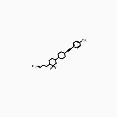 C=CCCC1CCC(C2CCC(C#Cc3ccc(C)cc3)CC2)CC1(F)F